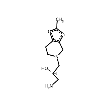 Cc1nc2c(o1)CCN(C[C@@H](O)CN)C2